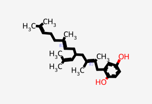 CC(C)=CCC/C(C)=C/CC(C=C(C)C)C/C(C)=C(\C)Cc1cc(O)ccc1O